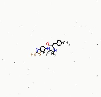 Cc1ccc(C=C(C#N)C(=O)N(c2ccc3nc(S)sc3c2)C(C)C)cc1